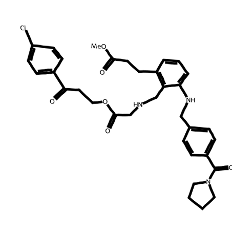 COC(=O)CCc1cccc(NCc2ccc(C(=O)N3CCCC3)cc2)c1CNCC(=O)OCCC(=O)c1ccc(Cl)cc1